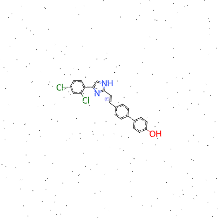 Oc1ccc(-c2ccc(/C=C/c3nc(-c4ccc(Cl)cc4Cl)c[nH]3)cc2)cc1